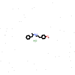 COc1ccc(CCCNC(C)Cc2ccccc2)cc1.Cl